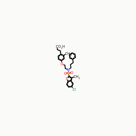 Cc1cc(OCCN(CCCc2ccccc2)S(=O)(=O)c2sc3ccc(Cl)cc3c2C)ccc1CCC(=O)O